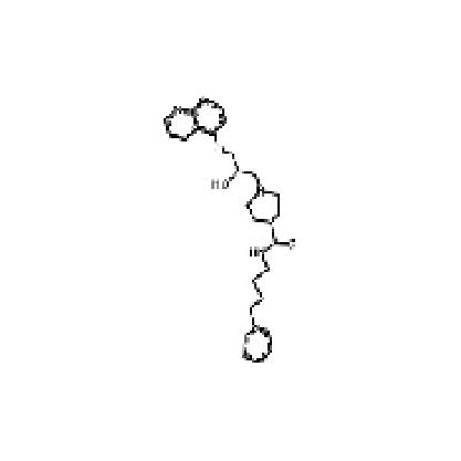 O=C(NCCCCc1ccccc1)C1CCN(C[C@@H](O)COc2cccc3ncccc23)CC1